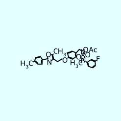 CC(=O)ON(Cc1ccc(OCCc2nc(-c3ccc(C)cc3)oc2C)cc1)S(=O)(=O)N(C)c1cccc(F)c1